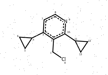 ClCc1c(C2CC2)ccnc1C1CC1